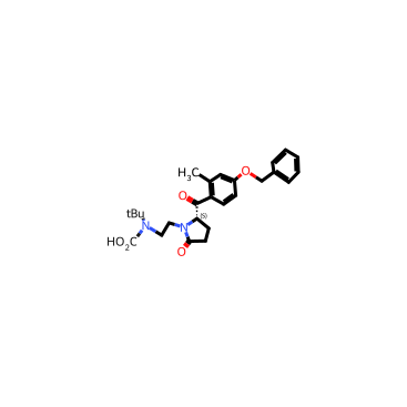 Cc1cc(OCc2ccccc2)ccc1C(=O)[C@@H]1CCC(=O)N1CCN(C(=O)O)C(C)(C)C